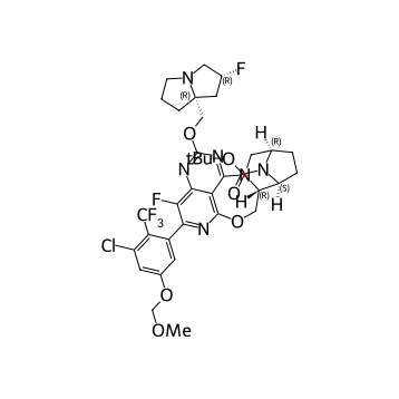 COCOc1cc(Cl)c(C(F)(F)F)c(-c2nc3c4c(nc(OC[C@]56CCCN5C[C@H](F)C6)nc4c2F)N2C[C@H]4CC[C@@H]([C@@H]2CO3)N4C(=O)OC(C)(C)C)c1